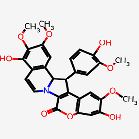 COc1cc(C2c3c(c(=O)oc4cc(O)c(OC)cc34)N3C=Cc4c(cc(OC)c(OC)c4O)C23)ccc1O